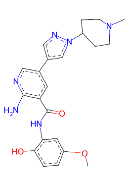 COc1ccc(O)c(NC(=O)c2cc(-c3cnn(C4CCN(C)CC4)c3)cnc2N)c1